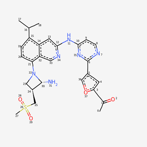 CC(=O)c1cc(-c2nccc(Nc3cc4c(C(C)C)ccc(N5C[C@H](CS(C)(=O)=O)[C@H]5N)c4cn3)n2)co1